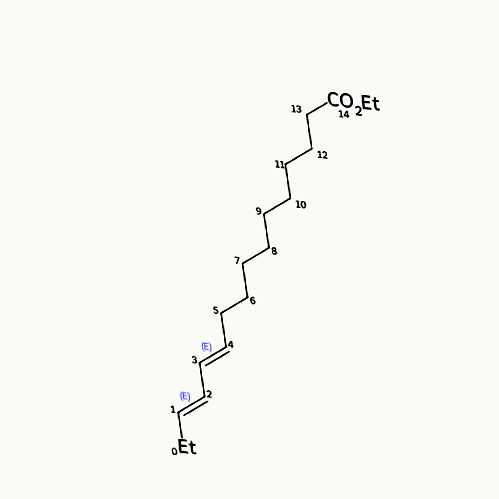 CC/C=C/C=C/CCCCCCCCCC(=O)OCC